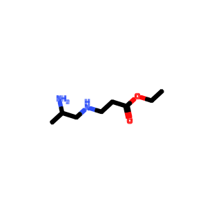 CCOC(=O)CCNCC(C)N